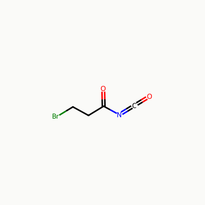 O=C=NC(=O)CCBr